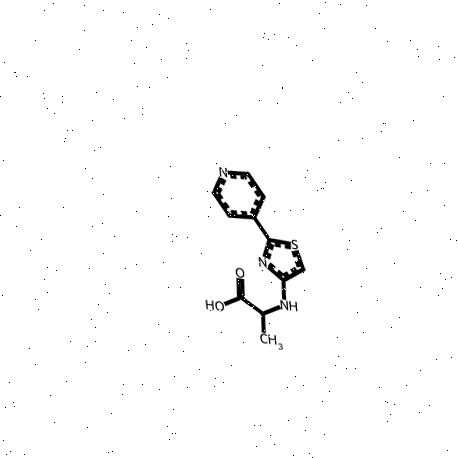 CC(Nc1csc(-c2ccncc2)n1)C(=O)O